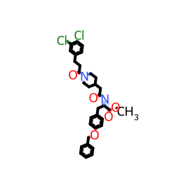 COC(=O)/C(Cc1ccc(OCc2ccccc2)cc1)=N/C(=O)CC1CCN(C(=O)CCc2ccc(Cl)c(Cl)c2)CC1